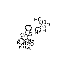 CC(O)(CO)c1ccnc(-c2cccc3cc(C(NS(=O)(=O)C4CC4)c4nc(N)ncc4Cl)sc23)c1